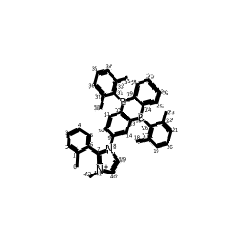 Cc1ccccc1-c1n(-c2ccc3c(c2)B(c2c(C)cccc2C)c2ccccc2B3c2c(C)cccc2C)cc[n+]1C